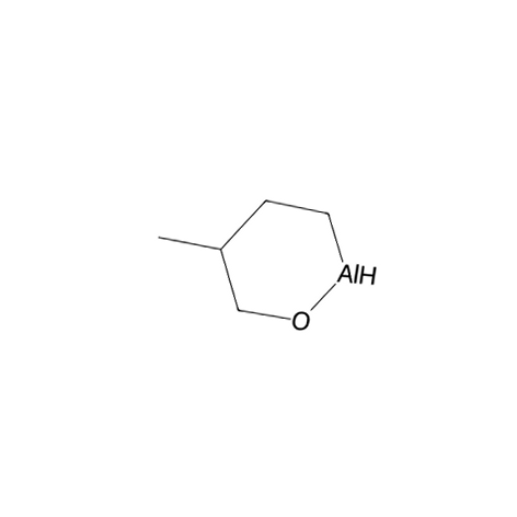 CC1C[CH2][AlH][O]C1